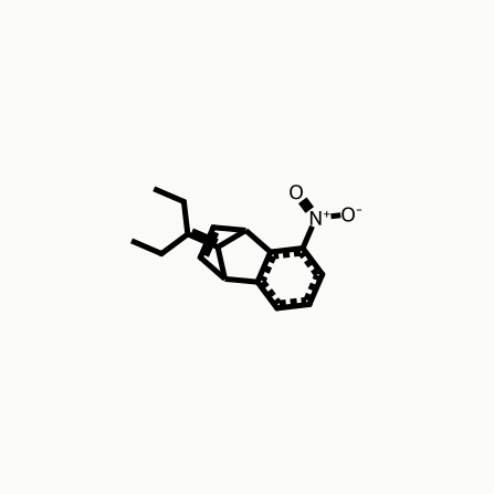 CCC(CC)=C1C2C=CC1c1c2cccc1[N+](=O)[O-]